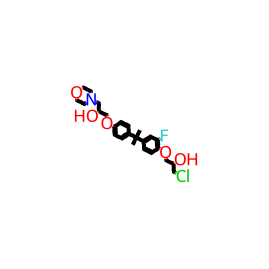 CC(C)(c1ccc(OCC(O)CN2CCOCC2)cc1)c1ccc(OCC(O)CCl)c(F)c1